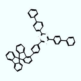 c1ccc(-c2ccc(-c3nc(-c4ccc(-c5ccccc5)cc4)nc(-c4ccc(-c5cccc6c5-c5ccccc5C65c6ccccc6-c6ccccc65)cc4)n3)cc2)cc1